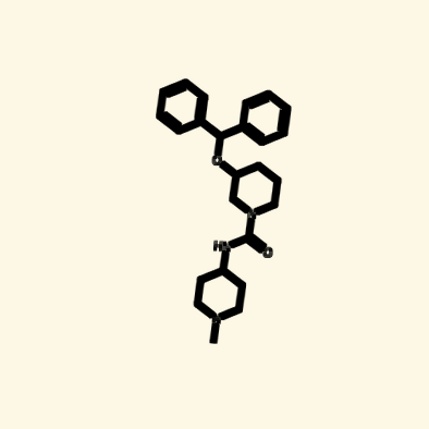 CN1CCC(NC(=O)N2CCCC(OC(c3ccccc3)c3ccccc3)C2)CC1